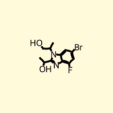 CC(O)c1nc2c(F)cc(Br)cc2n1C(C)CO